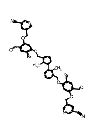 Cc1c(COc2cc(OCc3cncc(C#N)c3)c(C=O)cc2Br)cccc1-c1cccc(COc2cc(OCc3cncc(C#N)c3)c(C=O)cc2Br)c1C